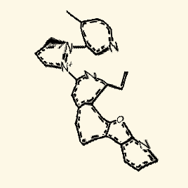 C=Cc1nc(-[n+]2cccn2-c2cnccc2C)cc2ccc3c4cccnc4oc3c12